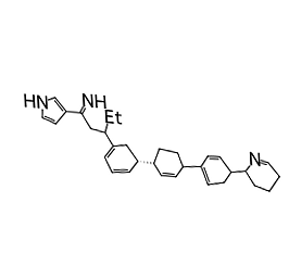 CCC(CC(=N)c1cc[nH]c1)C1=CC=C[C@@H](C2C=CC(C3=CCC(C4CCCC=N4)C=C3)CC2)C1